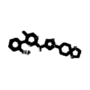 Cc1cnc(Nc2cnn(C3CCC4(CC3)OCCO4)c2)nc1-c1ccccc1C(=O)O